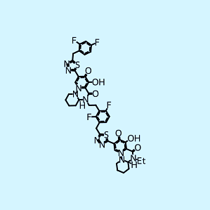 CCN1C(=O)c2c(O)c(=O)c(-c3nnc(Cc4ccc(F)c(CCN5C(=O)c6c(O)c(=O)c(-c7nnc(Cc8ccc(F)cc8F)s7)cn6N6CCCC[C@H]56)c4F)s3)cn2N2CCCC[C@@H]12